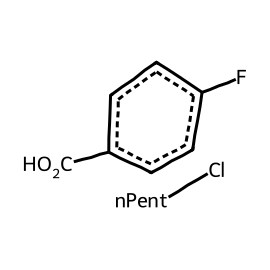 CCCCCCl.O=C(O)c1ccc(F)cc1